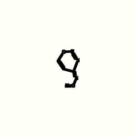 CON=c1cconn1